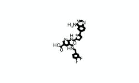 Nc1ncnc2ccc(C3=CCC(CNc4ncc(C(=O)O)cc4C(=O)NCc4ccc(F)c(F)c4)S3)cc12